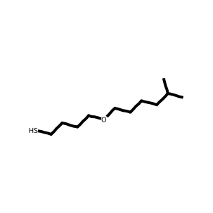 CC(C)CCCCOCCCCS